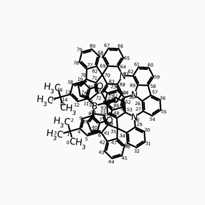 CC(C)(C)c1ccc2c(c1)B1c3cc(C(C)(C)C)ccc3Oc3cc(-n4c5c(N6c7ccccc7C7(c8ccccc8-c8ccccc87)c7ccccc76)cccc5c5cccc(N6c7ccccc7C7(c8ccccc8-c8ccccc87)c7ccccc76)c54)cc(c31)O2